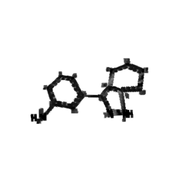 Nc1cccc(-c2n[nH]c3ccccc23)c1